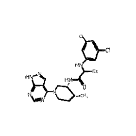 CCC(Nc1cc(Cl)cc(Cl)c1)C(=O)N[C@H]1CN(c2ncnc3[nH]ncc23)CC[C@@H]1C